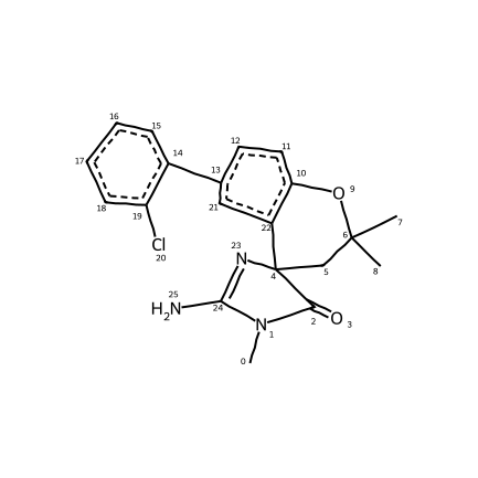 CN1C(=O)C2(CC(C)(C)Oc3ccc(-c4ccccc4Cl)cc32)N=C1N